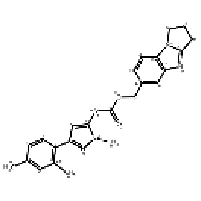 Cc1ccc(-c2cc(NC(=O)OCc3ccc4c(c3)nc3n4CCC3)n(C)n2)c(C)c1